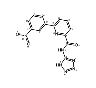 O=C(Nc1nnn[nH]1)c1cccc(-c2cccc([N+](=O)[O-])c2)n1